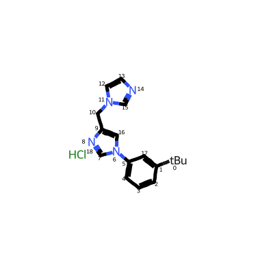 CC(C)(C)c1cccc(-n2cnc(Cn3ccnc3)c2)c1.Cl